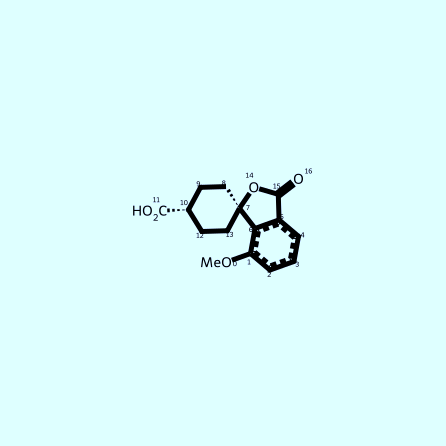 COc1cccc2c1[C@]1(CC[C@@H](C(=O)O)CC1)OC2=O